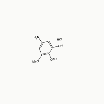 COc1cc(N)cc(O)c1OC.Cl